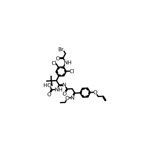 C=CCOc1ccc(C(CC(=O)N=C(NC(=O)O)C(c2cc(Cl)c(NC(=O)CBr)c(Cl)c2)C(C)(C)C)=NOCC)cc1